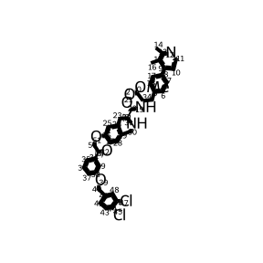 COC(=O)C(Cc1ccc(-c2ccnc(C)c2C)cc1)NC(=O)[C@@H]1Cc2cc3c(cc2CN1)O[C@@H](c1cccc(OCc2ccc(Cl)c(Cl)c2)c1)CO3